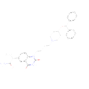 CC(=O)OC(C(N)=O)c1ccc2c(c1)c(=O)[nH]c(=O)n2CCCCN1CCC(OC(c2ccccc2)c2ccccc2)CC1